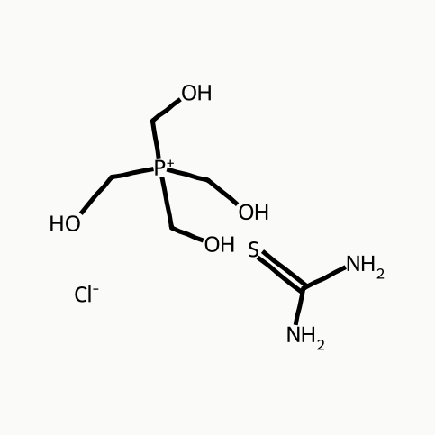 NC(N)=S.OC[P+](CO)(CO)CO.[Cl-]